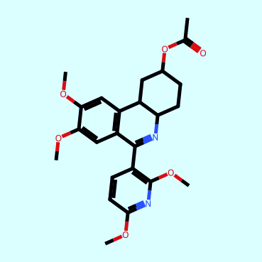 COc1ccc(C2=NC3CCC(OC(C)=O)CC3c3cc(OC)c(OC)cc32)c(OC)n1